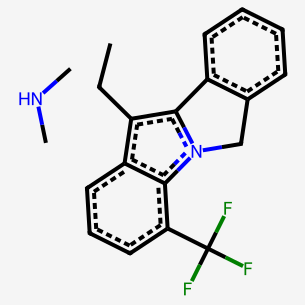 CCc1c2n(c3c(C(F)(F)F)cccc13)Cc1ccccc1-2.CNC